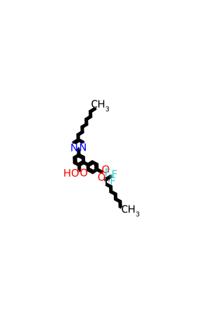 CCCCCCCCCc1cnc(-c2ccc(C(=O)O)c(-c3ccc(C(=O)O[C@H](CCCCCCCC)C(F)(F)F)cc3)c2)nc1